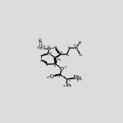 CC(C)[C@H](N)C(=O)Oc1cccc2[nH]cc(CCN(C)C)c12.Cl.Cl